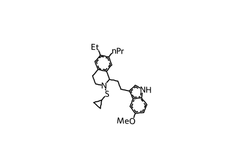 CCCc1cc2c(cc1CC)CCN(SC1CC1)C2CCc1c[nH]c2ccc(OC)cc12